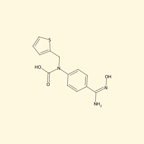 N/C(=N/O)c1ccc(N(Cc2cccs2)C(=O)O)cc1